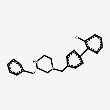 Clc1ccccc1-c1ccc(CN2CCN[C@@H](Cc3ccccc3)C2)cc1